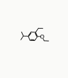 CCOc1ccc(C(C)C)cc1CC